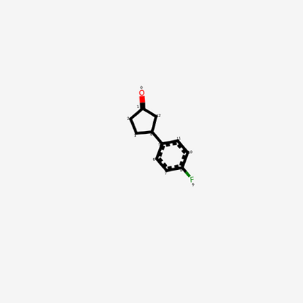 O=C1CCC(c2ccc(F)cc2)C1